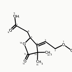 COCC=C1C(CC(=O)O)OC(=O)C1(C)C